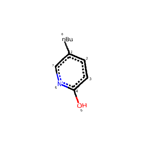 CCCCc1ccc(O)nc1